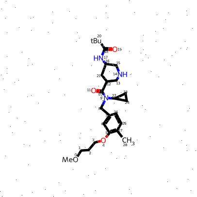 COCCCOc1cc(CN(C(=O)C2CNCC(NC(=O)C(C)(C)C)C2)C2CC2)ccc1C